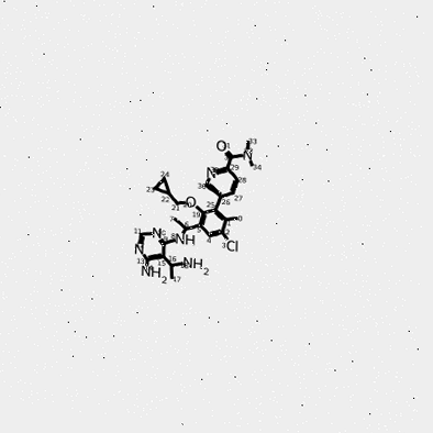 Cc1c(Cl)cc(C(C)Nc2ncnc(N)c2C(C)N)c(OCC2CC2)c1-c1ccc(C(=O)N(C)C)nc1